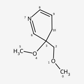 COCC1(OC)C=NC=CC1